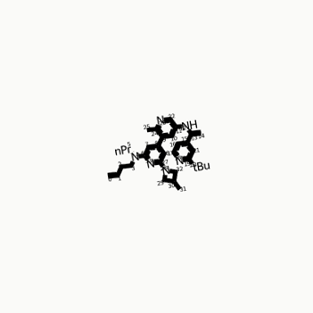 C=CCCN(CCC)c1cc(-c2cc(NC(=C)c3ccnc(C(C)(C)C)c3)cnc2C)cc(N2CC(C)C2)n1